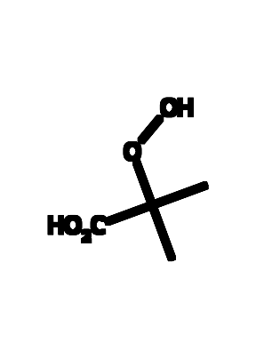 CC(C)(OO)C(=O)O